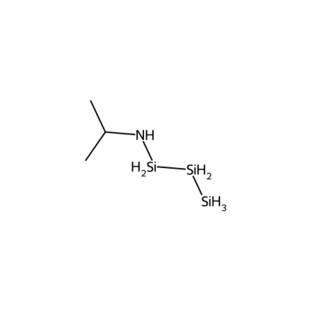 CC(C)N[SiH2][SiH2][SiH3]